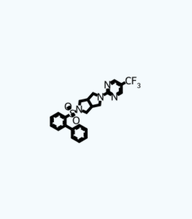 O=S(=O)(c1ccccc1-c1ccccc1)N1CC2CN(c3ncc(C(F)(F)F)cn3)CC2C1